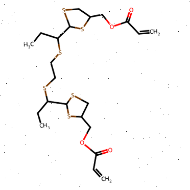 C=CC(=O)OCC1CSC(C(CC)SCCSC(CC)C2SCC(COC(=O)C=C)S2)S1